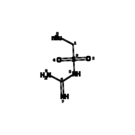 CCCCCS(=O)(=O)NC(=N)N